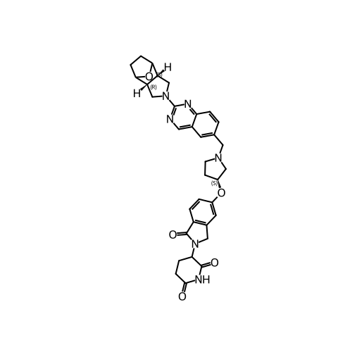 O=C1CCC(N2Cc3cc(O[C@H]4CCN(Cc5ccc6nc(N7C[C@@H]8C9CCC(O9)[C@@H]8C7)ncc6c5)C4)ccc3C2=O)C(=O)N1